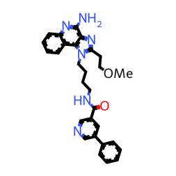 COCCc1nc2c(N)nc3ccccc3c2n1CCCCNC(=O)c1cncc(-c2ccccc2)c1